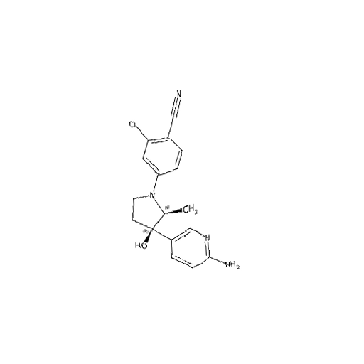 C[C@@H]1N(c2ccc(C#N)c(Cl)c2)CC[C@@]1(O)c1ccc(N)nc1